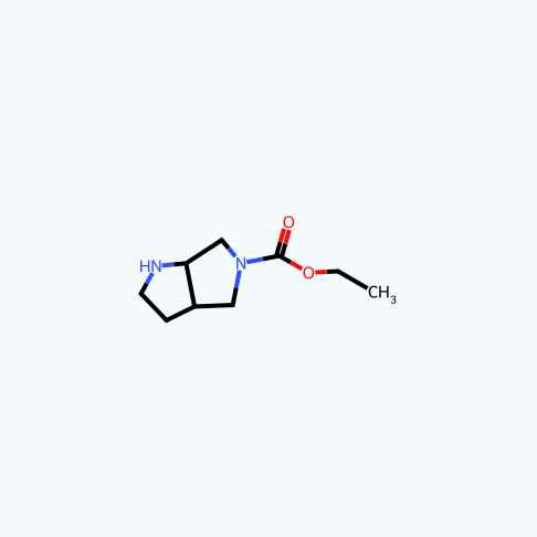 CCOC(=O)N1CC2CCNC2C1